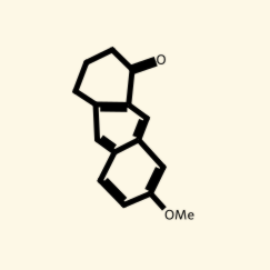 COc1ccc2cc3c(cc2c1)C(=O)CCC3